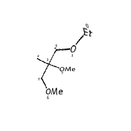 CCOCC(C)(COC)OC